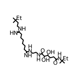 CCC(C)(C)CCNC(=N)CCCCCCC(=N)NCCNC(=O)C(O)C(O)CCC(=O)NC(C)(C)CC